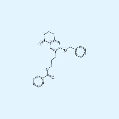 O=C(OCCCc1cc2c(cc1OCc1ccccc1)CCCC2=O)c1ccccc1